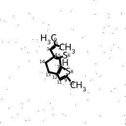 CC(C)=CC1=C(S)c2sc(C)cc2CC1